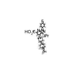 CC(C)c1nn(-c2ccc(F)cc2)c2nc(C(=O)O)cc(N3CCC(N4CCN(C5CC5)CC4)CC3)c12